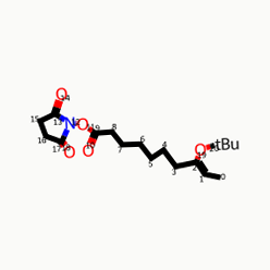 CC=C(CCCCCCC(=O)ON1C(=O)CCC1=O)OC(C)(C)C